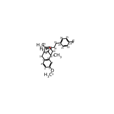 COc1ccc2c(c1)[C@]1(C)CCN(C)[C@H](C2)C1NCCc1ccc(F)cc1